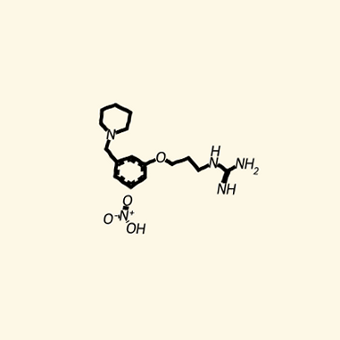 N=C(N)NCCCOc1cccc(CN2CCCCC2)c1.O=[N+]([O-])O